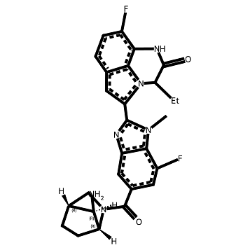 CCC1C(=O)Nc2c(F)ccc3cc(-c4nc5cc(C(=O)N6C[C@H]7CC[C@@H]6[C@@H]7N)cc(F)c5n4C)n1c23